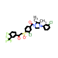 CC1C(C)N(c2cccc(Cl)c2)CCN1C(=O)c1ccc([S+]([O-])CC(=O)c2ccc(F)c(C(F)(F)F)c2)c(Cl)c1